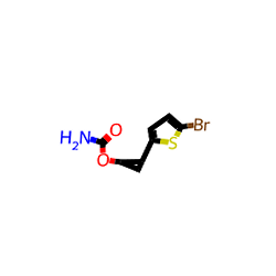 NC(=O)OC1CC1c1ccc(Br)s1